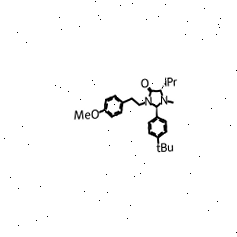 COc1ccc(CCN2C(=O)[C@H](C(C)C)N(C)[C@H]2c2ccc(C(C)(C)C)cc2)cc1